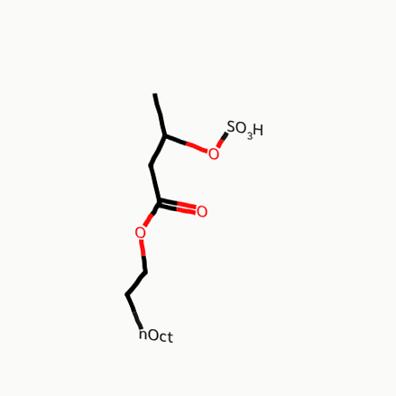 CCCCCCCCCCOC(=O)CC(C)OS(=O)(=O)O